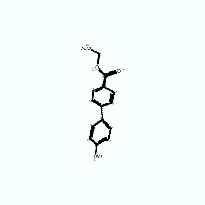 COc1ccc(-c2ccc(C(=O)OCOC(C)=O)cc2)cc1